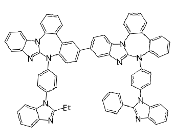 CCc1nc2ccccc2n1-c1ccc(N2c3ccc(-c4ccc5c(c4)nc4n5-c5ccccc5-c5ccccc5N4c4ccc(-n5c(-c6ccccc6)nc6ccccc65)cc4)cc3-c3ccccc3-n3c2nc2ccccc23)cc1